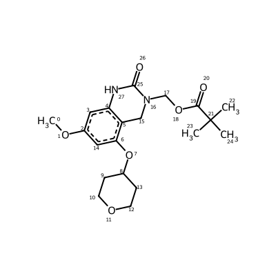 COc1cc2c(c(OC3CCOCC3)c1)CN(COC(=O)C(C)(C)C)C(=O)N2